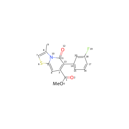 COC(=O)c1cc2scc(C)n2c(=O)c1-c1cccc(F)c1